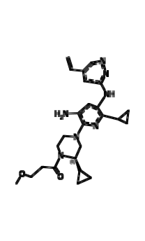 C=Cc1cnnc(Nc2cc(N)c(N3CCN(C(=O)CCOC)[C@H](C4CC4)C3)nc2C2CC2)c1